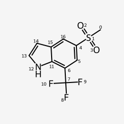 CS(=O)(=O)c1cc(C(F)(F)F)c2[nH]ccc2c1